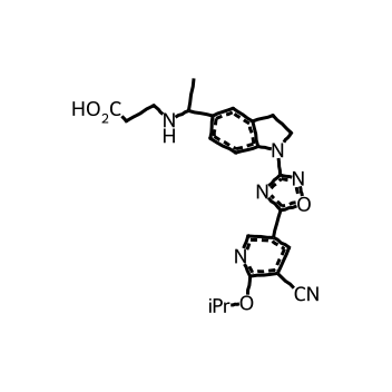 CC(C)Oc1ncc(-c2nc(N3CCc4cc(C(C)NCCC(=O)O)ccc43)no2)cc1C#N